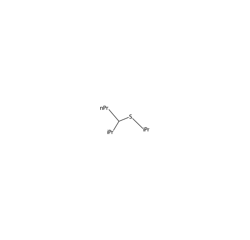 CCCC(SC(C)C)C(C)C